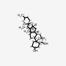 CC1CC[C@@]2(OC1)O[C@H]1C[C@H]3[C@H](CN)[C@@H]([C@@]4(C)CC[C@H](O)C[C@@H]4CO)CC[C@]3(C)[C@H]1[C@@H]2C